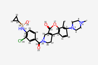 Cc1c(N2CCN(C)CC2)ccc2c3c(c(=O)oc12)CN(C(=O)c1ccc(N[S+]([O-])C2CC2)c(Cl)c1)CC3